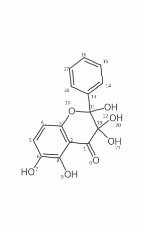 O=C1c2c(ccc(O)c2O)OC(O)(c2ccccc2)C1(O)O